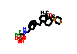 Cc1ccc(CC2C3CC4CC2CC(CNC(=O)C(F)(F)S(=O)(=O)O)(C4)C3)c2c1C(=O)C(S1(C)CCSCC1)CCC2